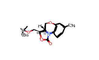 CC(C)(C)[Si](C)(C)OC[C@@H]1OC(=O)N2c3ccc(C#N)cc3OC[C@@H]12